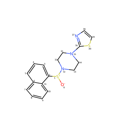 [O-][S+](c1cccc2ccccc12)N1CCN(c2nccs2)CC1